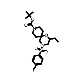 CCC1CN(S(=O)(=O)c2ccc(F)cc2)CC2(CCN(C(=O)OC(C)(C)C)CC2)O1